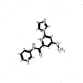 COc1cc(C(=O)Nc2cccnc2)nc(-n2ccnc2)c1